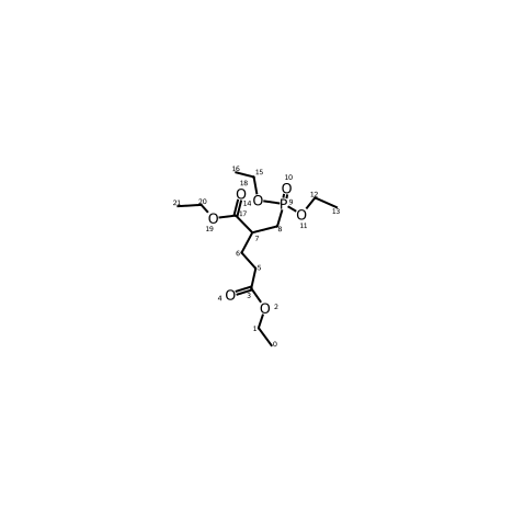 CCOC(=O)CCC(CP(=O)(OCC)OCC)C(=O)OCC